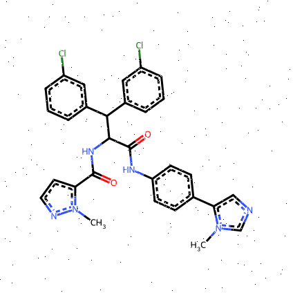 Cn1cncc1-c1ccc(NC(=O)C(NC(=O)c2ccnn2C)C(c2cccc(Cl)c2)c2cccc(Cl)c2)cc1